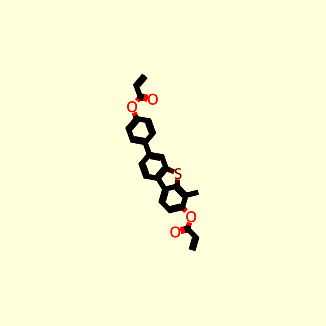 C=CC(=O)Oc1ccc(-c2ccc3c(c2)sc2c(C)c(OC(=O)C=C)ccc23)cc1